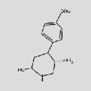 COc1ccc(C2CC(O)NC[C@H]2N)cc1